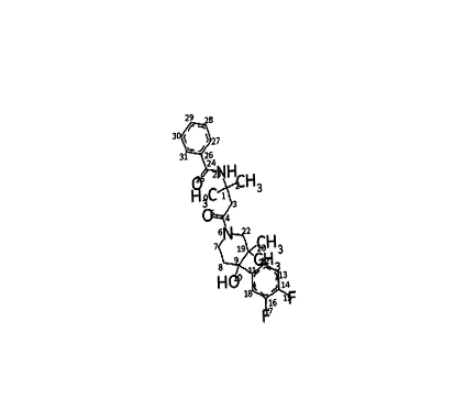 CC(C)(CC(=O)N1CCC(O)(c2ccc(F)c(F)c2)C(C)(C)C1)NC(=O)c1ccccc1